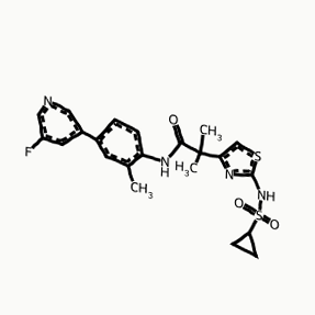 Cc1cc(-c2cncc(F)c2)ccc1NC(=O)C(C)(C)c1csc(NS(=O)(=O)C2CC2)n1